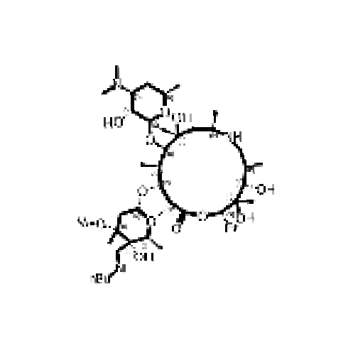 CCCCNC[C@]1(O)[C@H](C)O[C@@H](O[C@@H]2[C@@H](C)[C@@H](O[C@@H]3O[C@H](C)C[C@H](N(C)C)[C@H]3O)[C@](C)(O)C[C@@H](C)NC[C@@H](C)[C@H](O)[C@](C)(O)[C@H](CC)OC(=O)[C@@H]2C)C[C@@]1(C)OC